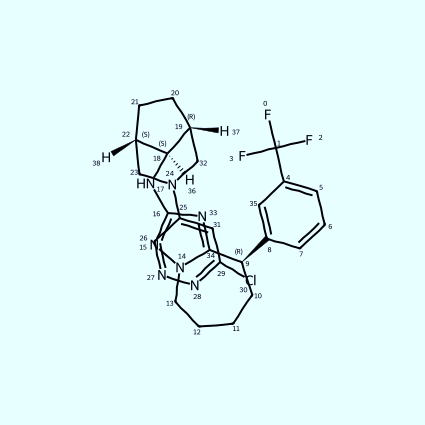 FC(F)(F)c1cccc([C@H]2CCCCn3nc(N[C@@H]4[C@@H]5CC[C@H]4CN(c4cnnc(Cl)c4)C5)nc32)c1